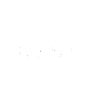 CS(=O)(=O)N1CCN(c2n[nH]c3cc(F)cc(Cl)c23)C2(CC2)C1